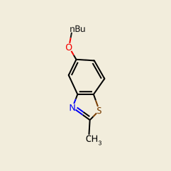 CCCCOc1ccc2sc(C)nc2c1